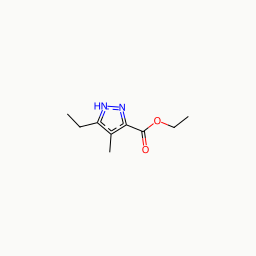 CCOC(=O)c1n[nH]c(CC)c1C